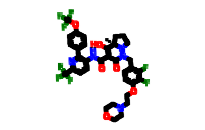 C[C@]12CCCN1N(Cc1ccc(OCCN3CCOCC3)c(F)c1F)C(=O)C(C(=O)Nc1ccc(C(F)(F)F)nc1-c1ccc(OC(F)(F)F)cc1)=C2O